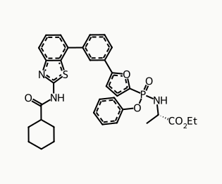 CCOC(=O)[C@H](C)NP(=O)(Oc1ccccc1)c1ccc(-c2cccc(-c3cccc4nc(NC(=O)C5CCCCC5)sc34)c2)o1